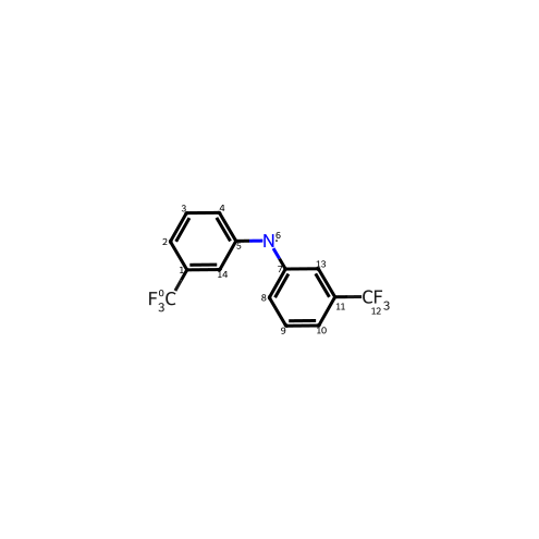 FC(F)(F)c1cccc([N]c2cccc(C(F)(F)F)c2)c1